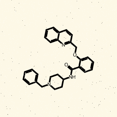 O=C(NC1CCN(Cc2ccccc2)CC1)c1ccccc1OCc1ccc2ccccc2n1